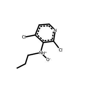 CCC[NH+]([O-])c1c(Cl)ccnc1Cl